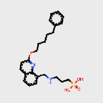 O=P(O)(O)CCCNCc1cccc2ccc(OCCCCCc3ccccc3)nc12